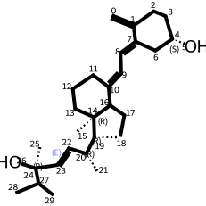 C=C1CC[C@H](O)CC1=CC=C1CCC[C@@]2(C)C1CC[C@@H]2[C@H](C)/C=C/[C@](C)(O)C(C)C